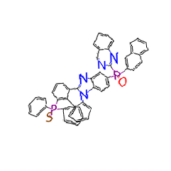 O=P(c1ccc2ccccc2c1)(c1ccc2c(c1)nc1c3cccc(P(=S)(c4ccccc4)c4ccccc4)c3c3ccccc3n21)c1ncc2ccccc2n1